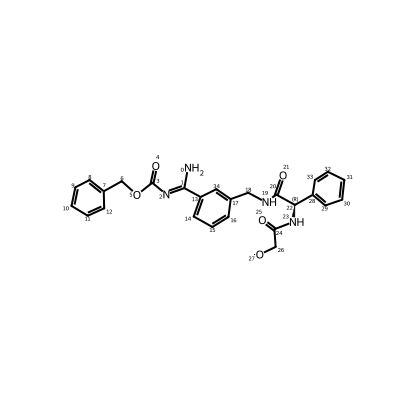 NC(=NC(=O)OCc1ccccc1)c1cccc(CNC(=O)[C@H](NC(=O)C[O])c2ccccc2)c1